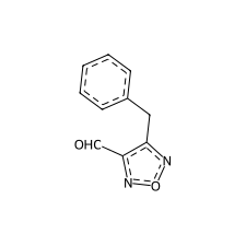 O=Cc1nonc1Cc1ccccc1